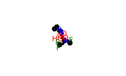 O=C(C=C(O)c1cc(Cc2cc(F)cc(F)c2)cn(Cc2ccccc2F)c1=O)C(=O)N1CCN(c2cccc3ccccc23)CC1